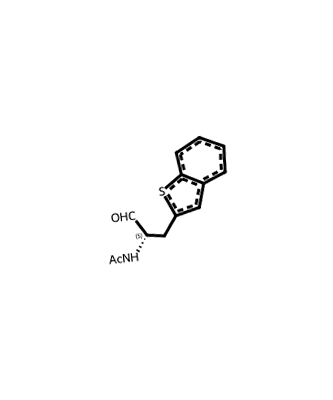 CC(=O)N[C@H](C=O)Cc1cc2ccccc2s1